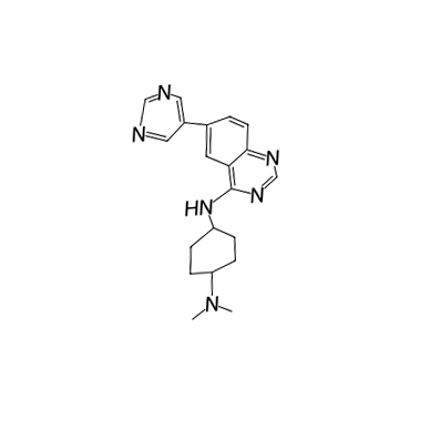 CN(C)C1CCC(Nc2ncnc3ccc(-c4cncnc4)cc23)CC1